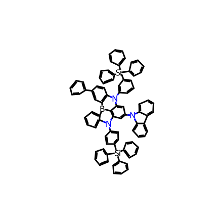 c1ccc(-c2ccc3c(c2)B2c4ccccc4N(c4ccc([Si](c5ccccc5)(c5ccccc5)c5ccccc5)cc4)c4cc(-n5c6ccccc6c6ccccc65)cc(c42)N3c2cccc([Si](c3ccccc3)(c3ccccc3)c3ccccc3)c2)cc1